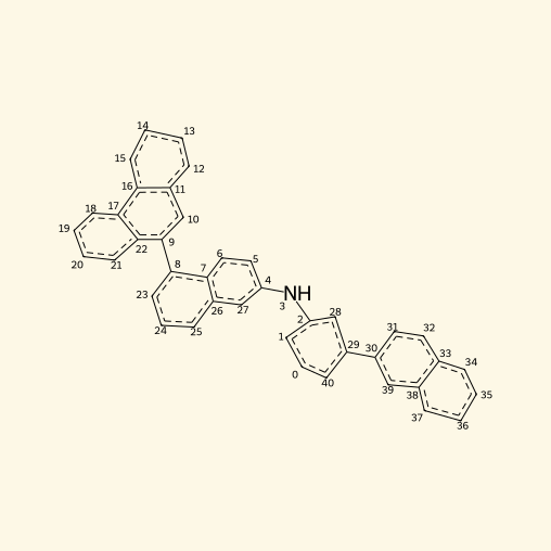 c1cc(Nc2ccc3c(-c4cc5ccccc5c5ccccc45)cccc3c2)cc(-c2ccc3ccccc3c2)c1